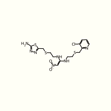 Nc1nnc(CSCCNC(=C[N+](=O)[O-])NCCSCc2ncccc2Cl)s1